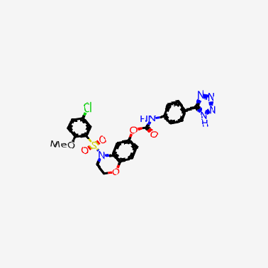 COc1ccc(Cl)cc1S(=O)(=O)N1CCOc2ccc(OC(=O)Nc3ccc(-c4nnn[nH]4)cc3)cc21